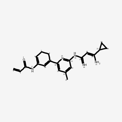 C=CC(=O)NC1=CCCC(c2cc(C)cc(NC(=N)/C=C(\N)C3CC3)n2)=C1